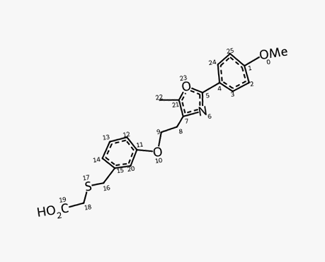 COc1ccc(-c2nc(CCOc3cccc(CSCC(=O)O)c3)c(C)o2)cc1